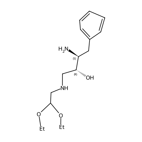 CCOC(CNC[C@@H](O)[C@@H](N)Cc1ccccc1)OCC